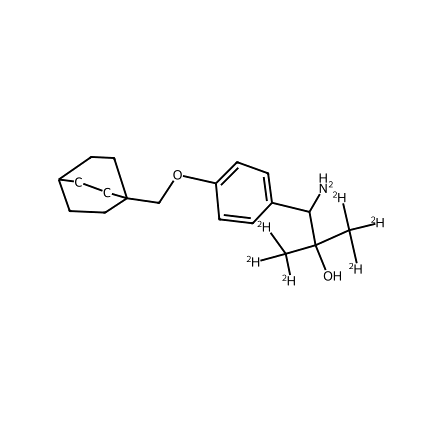 [2H]C([2H])([2H])C(O)(C(N)c1ccc(OCC23CCC(CC2)CC3)cc1)C([2H])([2H])[2H]